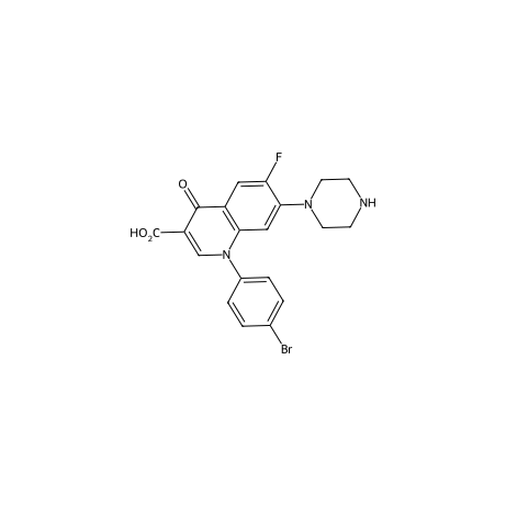 O=C(O)c1cn(-c2ccc(Br)cc2)c2cc(N3CCNCC3)c(F)cc2c1=O